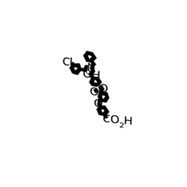 O=C(O)c1ccc(Oc2cccc(S(=O)(=O)c3ccc(CCN(Cc4ccccc4)C[C@H](O)c4cccc(Cl)c4)cc3)c2)cc1